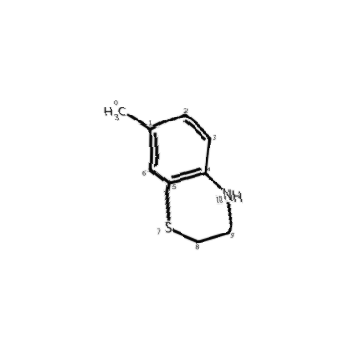 Cc1ccc2c(c1)SCCN2